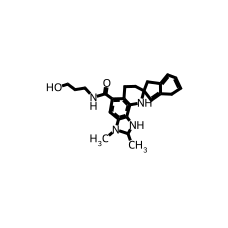 CC1Nc2c(cc(C(=O)NCCCO)c3c2NC2(C=C4CC=CC=C4C2)CC3)N1C